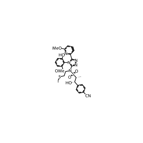 COc1cc#cc(-c2nnc(N(CCSI)S(=O)(=O)[C@H](C)[C@@H](O)c3ccc(C#N)cc3)n2-c2c(O)cccc2OC)n1